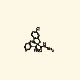 N=C(c1cnccn1)C1(C(=O)NN)Cc2cc(Cl)ccc2N1